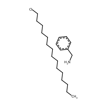 CCCCCCCCCCCCCCCCl.NCc1ccccc1